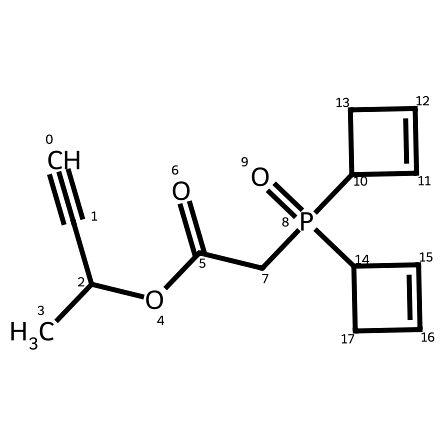 C#CC(C)OC(=O)CP(=O)(C1C=CC1)C1C=CC1